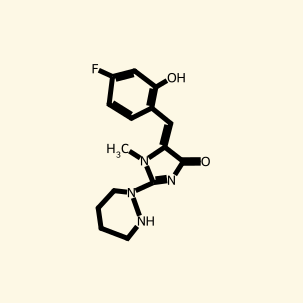 CN1C(N2CCCCN2)=NC(=O)/C1=C/c1ccc(F)cc1O